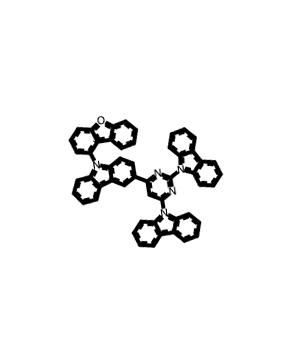 c1ccc2c(c1)oc1cccc(-n3c4ccccc4c4cc(-c5cc(-n6c7ccccc7c7ccccc76)nc(-n6c7ccccc7c7ccccc76)n5)ccc43)c12